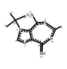 Cc1nc(N)c2c(ncn2C(C)(C)C)c(=N)n1